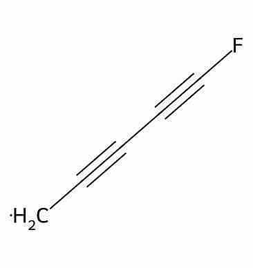 [CH2]C#CC#CF